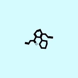 C=CCC(=O)c1cccc(CC=C)c1C1CCCCC1